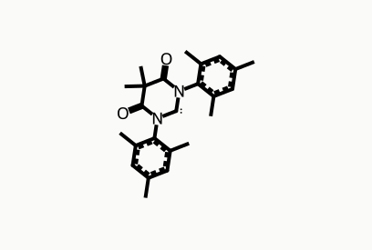 Cc1cc(C)c(N2[C]N(c3c(C)cc(C)cc3C)C(=O)C(C)(C)C2=O)c(C)c1